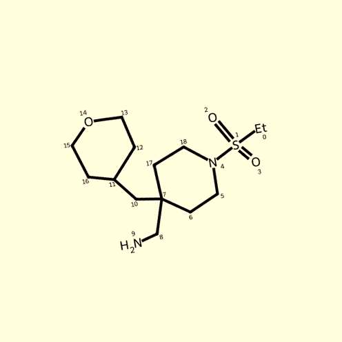 CCS(=O)(=O)N1CCC(CN)(CC2CCOCC2)CC1